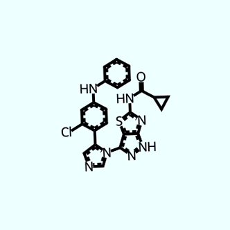 O=C(Nc1nc2[nH]nc(-n3cncc3-c3ccc(Nc4ccccc4)cc3Cl)c2s1)C1CC1